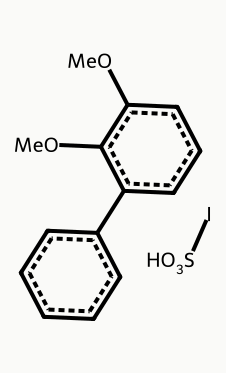 COc1cccc(-c2ccccc2)c1OC.O=S(=O)(O)I